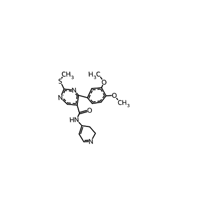 COc1ccc(-c2nc(SC)ncc2C(=O)NC2=CC=NCC2)cc1OC